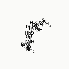 Cc1ncsc1-c1ccc([C@H](C)NC(=O)[C@@H]2C[C@@H](O)CN2C(=O)[C@@H](NC(=O)CCC(=O)NCCS(=O)(=O)N2CCC(Nc3ncc(Br)c(Nc4cccc(F)c4C(N)=O)n3)CC2)C(C)(C)C)cc1